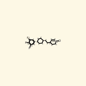 Fc1cc([C@H]2CC[C@H](CCC3CC[SiH](Cl)CC3)CC2)cc(F)c1F